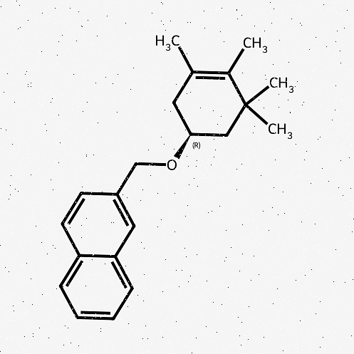 CC1=C(C)C(C)(C)C[C@@H](OCc2ccc3ccccc3c2)C1